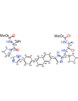 COC(=O)N[C@@H](C)C(=O)N[C@H](c1ncc(-c2ccc3cc(-c4ccc(-c5cnc([C@@H]6CCCN6C(=O)[C@@H](NC(=O)OC)C(C)C)[nH]5)cc4)ccc3c2)[nH]1)C1CCCC1